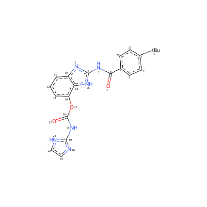 CC(C)(C)c1ccc(C(=O)Nc2nc3cccc(OC(=O)Nc4ncc[nH]4)c3[nH]2)cc1